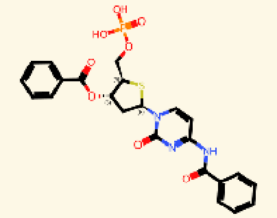 O=C(Nc1ccn([C@H]2C[C@H](OC(=O)c3ccccc3)[C@@H](COP(=O)(O)O)S2)c(=O)n1)c1ccccc1